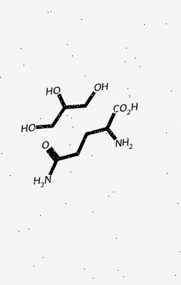 NC(=O)CCC(N)C(=O)O.OCC(O)CO